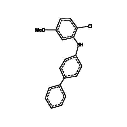 COc1ccc(Cl)c(Nc2ccc(-c3ccccc3)cc2)c1